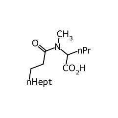 CCCCCCCCCC(=O)N(C)C(CCC)C(=O)O